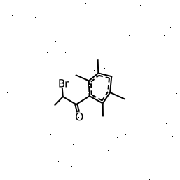 Cc1cc(C)c(C)c(C(=O)C(C)Br)c1C